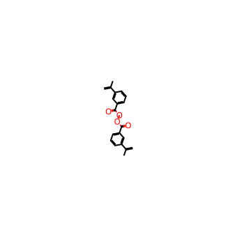 C=C(C)c1cccc(C(=O)OOC(=O)c2cccc(C(=C)C)c2)c1